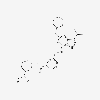 C=CC(=O)N1CCC[C@H](NC(=O)c2cccc(CNc3nc(NC4CCOCC4)nc4c(C(C)C)cnn34)c2)C1